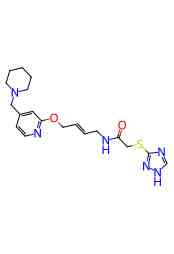 O=C(CSc1nc[nH]n1)NCC=CCOc1cc(CN2CCCCC2)ccn1